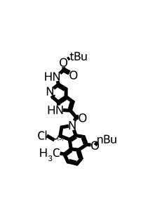 CCCCOc1cc2c(c3c(C)cccc13)[C@H](CCl)CN2C(=O)c1cc2cc(NC(=O)OC(C)(C)C)ncc2[nH]1